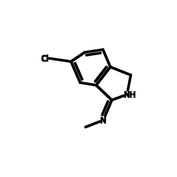 C/N=C1/NCc2ccc(Cl)cc21